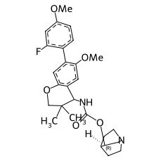 COc1ccc(-c2cc3c(cc2OC)C(NC(=O)O[C@H]2CN4CCC2CC4)C(C)(C)CO3)c(F)c1